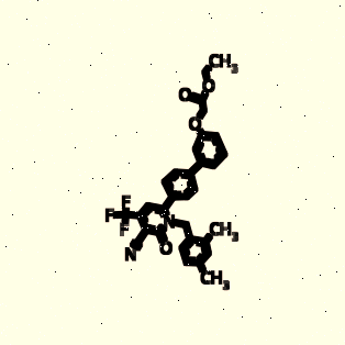 CCOC(=O)COc1cccc(-c2ccc(-c3cc(C(F)(F)F)c(C#N)c(=O)n3Cc3ccc(C)cc3C)cc2)c1